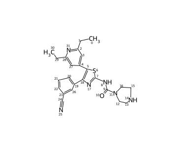 CCc1cc(-c2sc(NC(=O)N3CCNCC3)nc2-c2cccc(C#N)c2)cc(CC)n1